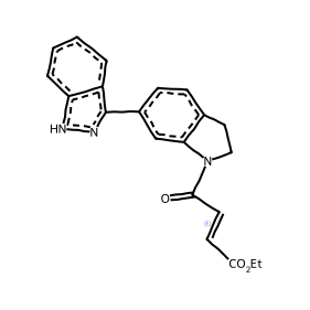 CCOC(=O)/C=C/C(=O)N1CCc2ccc(-c3n[nH]c4ccccc34)cc21